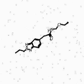 CCCn1nc2ccc(CC(=O)NCOCC)cc2n1